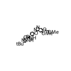 COCCOc1cc2ncnc(Oc3cccc(NC(=O)Nc4cc(C(C)(C)C)nn4C)c3)c2cc1OC